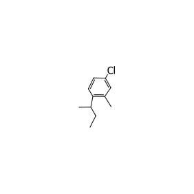 CCC(C)c1ccc(Cl)cc1C